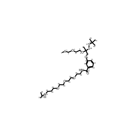 CSCOCCOC(C)(COc1cccc(C(=O)NCCOCCOCCOCCCNC(C)C)c1)SSC(C)(C)C